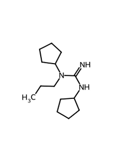 CCCN(C(=N)NC1CCCC1)C1CCCC1